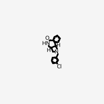 O=C1NC[C@H]2CN(Cc3cccc(Cl)c3)C[C@H]2c2ccccc21